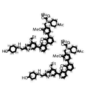 CCOc1cc(-c2nccc(-c3cccc(-c4ccc(CN(C(=O)OC(C)(C)C)C5CCN(C(C)=O)CC5)c(OC)n4)c3Cl)c2Cl)cn2nc(CNC3CCC(O)CC3)nc12.CCOc1cc(-c2nccc(-c3cccc(-c4ccc(CN(C(=O)OC(C)(C)C)C5CCN(C(C)=O)CC5)c(OC)n4)c3Cl)c2Cl)cn2nc(CNC3CCC(O)CC3)nc12